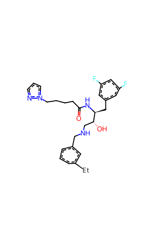 CCc1cccc(CNC[C@@H](O)[C@H](Cc2cc(F)cc(F)c2)NC(=O)CCCCn2cccn2)c1